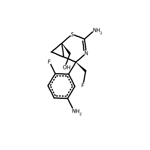 NC1=N[C@](CF)(c2cc(N)ccc2F)C2C[C@]2(CO)S1